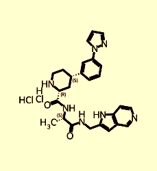 C[C@H](NC(=O)[C@H]1C[C@@H](c2cccc(-n3cccn3)c2)CCN1)C(=O)NCc1cc2cnccc2[nH]1.Cl.Cl